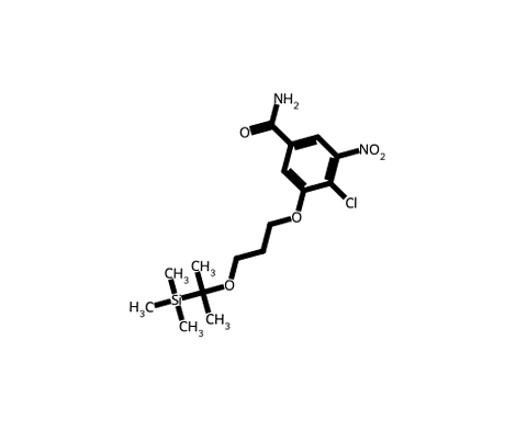 CC(C)(OCCCOc1cc(C(N)=O)cc([N+](=O)[O-])c1Cl)[Si](C)(C)C